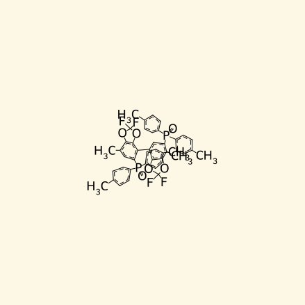 Cc1ccc(P(=O)(c2ccc(C)cc2)c2cc(-c3c(P(=O)(c4ccc(C)cc4)c4ccc(C)cc4)cc(C)c4c3OC(F)(F)O4)c3c(c2C)OC(F)(F)O3)cc1